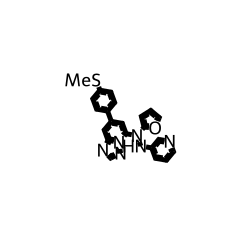 CSc1ccc(-c2cc(N(Nc3cccnc3)c3ccco3)n3ncnc3c2)cc1